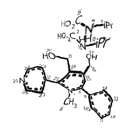 CC(C)NC(=O)O.CC(C)NC(=O)O.Cn1c(-c2ccccc2)c(CO)c(CO)c1-c1ccncc1